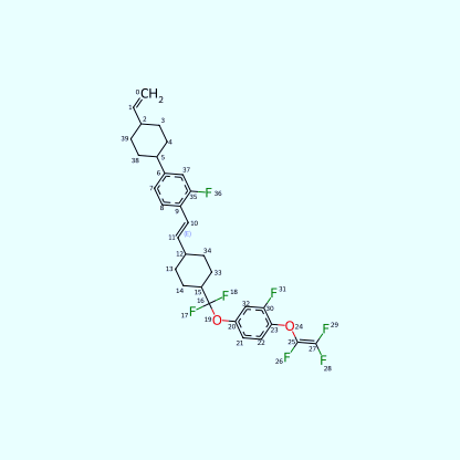 C=CC1CCC(c2ccc(/C=C/C3CCC(C(F)(F)Oc4ccc(OC(F)=C(F)F)c(F)c4)CC3)c(F)c2)CC1